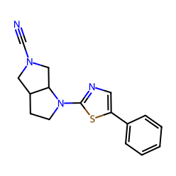 N#CN1CC2CCN(c3ncc(-c4ccccc4)s3)C2C1